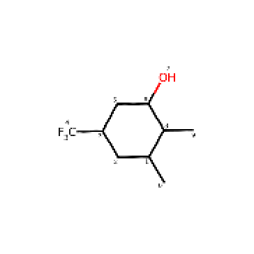 CC1CC(C(F)(F)F)CC(O)C1C